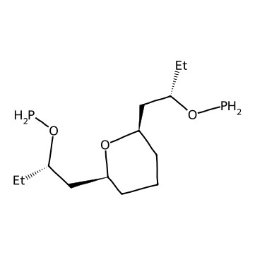 CC[C@@H](C[C@H]1CCC[C@@H](C[C@H](CC)OP)O1)OP